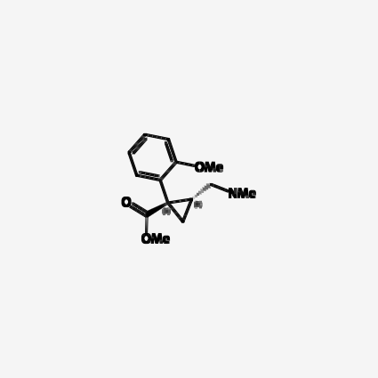 CNC[C@@H]1C[C@]1(C(=O)OC)c1ccccc1OC